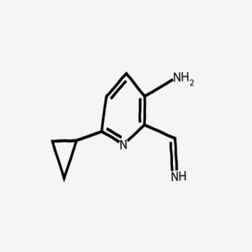 N=Cc1nc(C2CC2)ccc1N